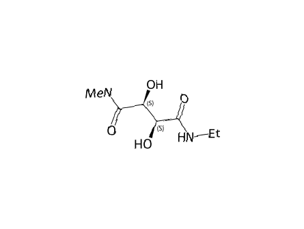 CCNC(=O)[C@@H](O)[C@H](O)C(=O)NC